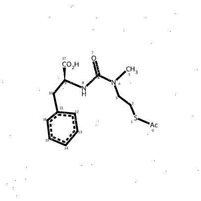 CC(=O)SCCN(C)C(=O)N[C@@H](Cc1ccccc1)C(=O)O